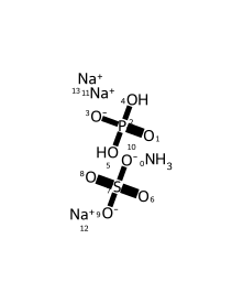 N.O=P([O-])(O)O.O=S(=O)([O-])[O-].[Na+].[Na+].[Na+]